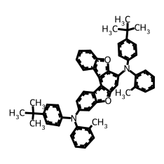 Cc1ccccc1N(c1ccc(C(C)(C)C)cc1)c1ccc2c(c1)oc1cc(N(c3ccc(C(C)(C)C)cc3)c3ccccc3C)c3oc4ccccc4c3c12